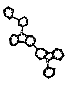 C1=CC(n2c3ccccc3c3cc(-c4ccc5c(c4)c4ccccc4n5-c4ccccc4)ccc32)=CC(c2ccccc2)C1